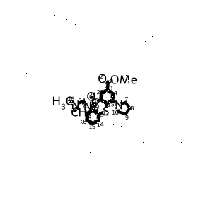 COC(=O)c1cc(N2CCCC2)c(Sc2ccccc2)c(S(=O)(=O)N=CN(C)C)c1